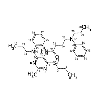 CCCSc1nc(C)nc(N(CCC)c2ccccc2)c1NC(=O)CCCN(CCC)c1ccccc1